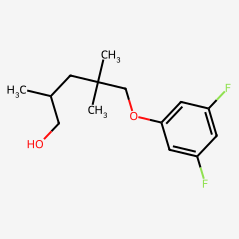 CC(CO)CC(C)(C)COc1cc(F)cc(F)c1